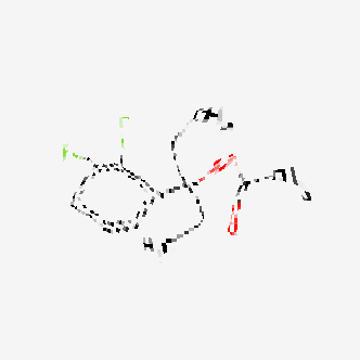 CCC(CC)(OC(C)=O)c1cccc(F)c1F